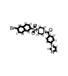 O=C(c1ccc(-n2ccnc2)cc1)N1CCN(S(=O)(=O)c2ccc3cc(Br)ccc3c2)CC1